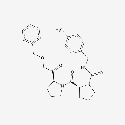 Cc1ccc(CNC(=O)N2CCC[C@H]2C(=O)N2CCC[C@H]2C(=O)COCc2ccccc2)cc1